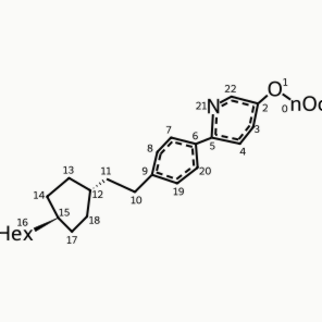 CCCCCCCCOc1ccc(-c2ccc(CC[C@H]3CC[C@H](CCCCCC)CC3)cc2)nc1